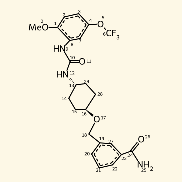 COc1ccc(OC(F)(F)F)cc1NC(=O)N[C@H]1CC[C@H](OCc2cccc(C(N)=O)c2)CC1